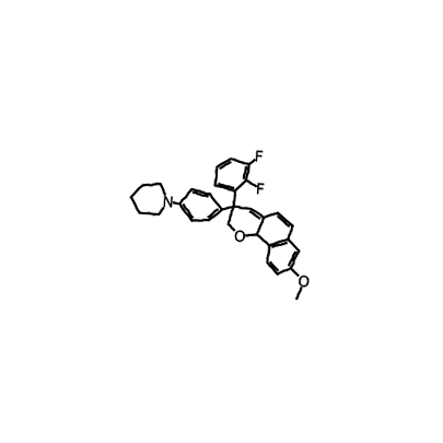 COc1ccc2c(c1)C=CC1=CC(c3ccc(N4CCCCC4)cc3)(c3cccc(F)c3F)COC12